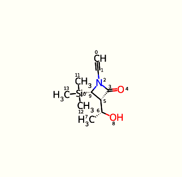 C#CN1C(=O)[C@H]([C@@H](C)O)[C@@H]1[Si](C)(C)C